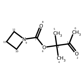 CC(=O)C(C)(C)OC(=O)N1CCC1